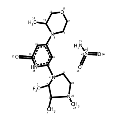 CC1C(C(F)(F)F)N(c2cc(N3CCOCC3C)cc(=O)[nH]2)CCN1C.N[SH](=O)=O